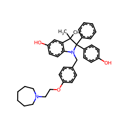 CC1(C)c2cc(O)ccc2N(Cc2ccc(OCCN3CCCCCC3)cc2)C1(c1ccccc1)c1ccc(O)cc1